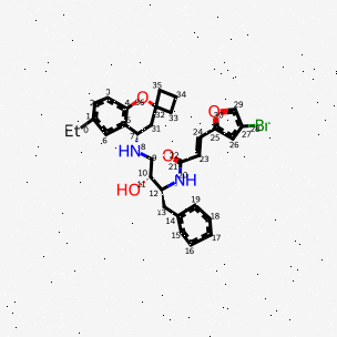 CCc1ccc2c(c1)[C@@H](NC[C@@H](O)[C@H](Cc1ccccc1)NC(=O)/C=C/c1cc(Br)co1)CC1(CCC1)O2